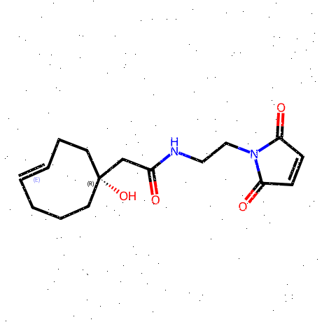 O=C(C[C@]1(O)CC/C=C/CCC1)NCCN1C(=O)C=CC1=O